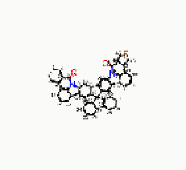 C/C=c1\c(=C/C)c(=O)n2c3cc4c(cc3c3cccc1c32)C1(c2ccccc2-c2ccccc21)c1cc2c3cccc5c6cscc6c(=O)n(c2cc1-4)c53